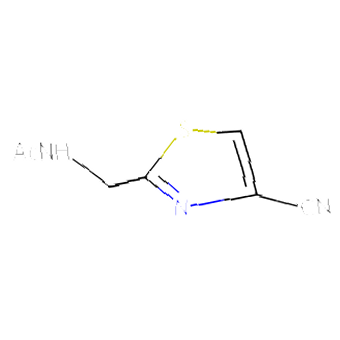 CC(=O)NCc1nc(C#N)cs1